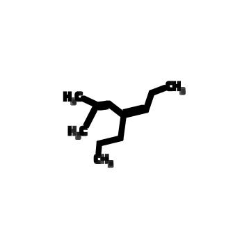 CC/C=C(\C=C(C)C)CCC